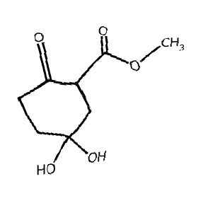 COC(=O)C1CC(O)(O)CCC1=O